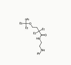 CCCC(CC)(CC)OCCC(CC)(CC)C(=O)NCCNC(C)C